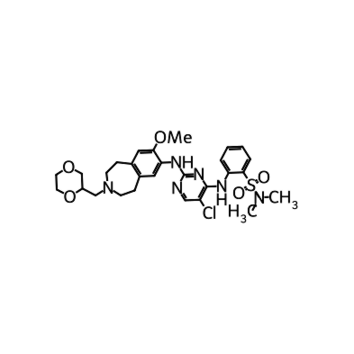 COc1cc2c(cc1Nc1ncc(Cl)c(Nc3ccccc3S(=O)(=O)N(C)C)n1)CCN(CC1COCCO1)CC2